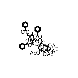 COC(=O)C(C[C@H](NC(C)=O)OC(C)=O)(OC[C@H](OC(=O)c1ccccc1)C(C)OC(COC(=O)c1ccccc1)[C@@H](C)OC(=O)c1ccccc1)O[C@H](C)[C@H](OC(C)=O)[C@@H](COC(C)=O)OC(C)=O